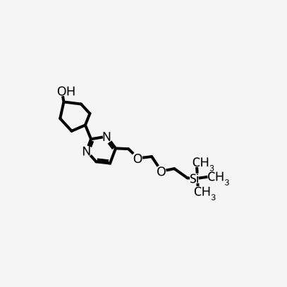 C[Si](C)(C)CCOCOCc1ccnc(C2CCC(O)CC2)n1